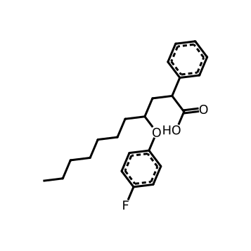 CCCCCCCC(CC(C(=O)O)c1ccccc1)Oc1ccc(F)cc1